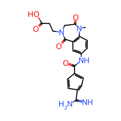 CN1C(=O)CN(CCC(=O)O)C(=O)c2cc(NC(=O)c3ccc(C(=N)N)cc3)ccc21